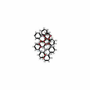 c1ccc(-c2ccccc2N(c2cccc(-c3ccccc3N(c3ccccc3-c3ccccc3)c3cccc4sc5ccccc5c34)c2)c2cccc3sc4ccccc4c23)cc1